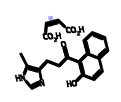 Cc1[nH]cnc1CCC(=O)c1c(O)ccc2ccccc12.O=C(O)/C=C\C(=O)O